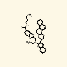 CCN(Cc1nc2cc(C(=O)NCCCN)ccc2[nH]1)c1nc2ccccc2cc1C1C=CC2=C(CCc3c2ccc2ccccc32)C1